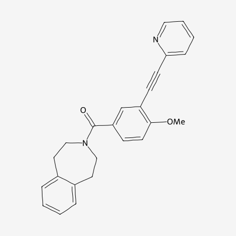 COc1ccc(C(=O)N2CCc3ccccc3CC2)cc1C#Cc1ccccn1